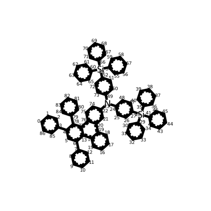 c1ccc(-c2cc(-c3ccccc3)c3c4ccccc4c4cc(N(c5ccc([Si](c6ccccc6)(c6ccccc6)c6ccccc6)cc5)c5ccc([Si](c6ccccc6)(c6ccccc6)c6ccccc6)cc5)ccc4c3c2-c2ccccc2)cc1